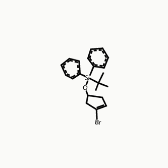 CC(C)(C)[Si](OC1CC=C(Br)C1)(c1ccccc1)c1ccccc1